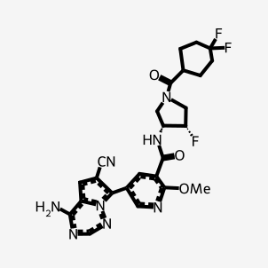 COc1ncc(-c2c(C#N)cc3c(N)ncnn23)cc1C(=O)N[C@@H]1CN(C(=O)C2CCC(F)(F)CC2)C[C@@H]1F